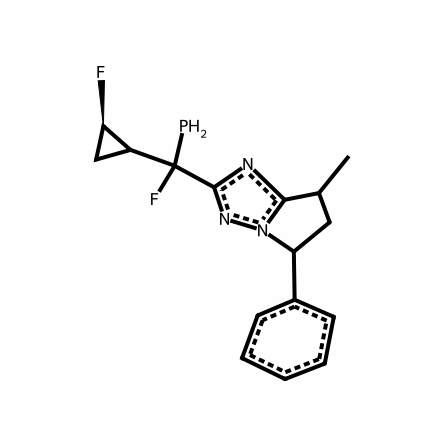 CC1CC(c2ccccc2)n2nc(C(F)(P)C3C[C@H]3F)nc21